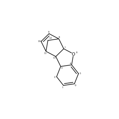 C1=CCC2C(=C1)OC1C3C=CC(C3)C21